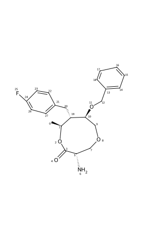 C[C@@H]1OC(=O)[C@@H](N)COC[C@H](OCc2ccccc2)[C@H]1Cc1ccc(F)cc1